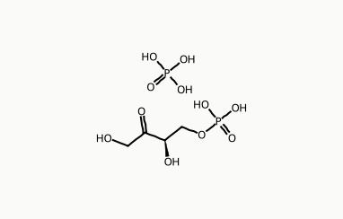 O=C(CO)[C@H](O)COP(=O)(O)O.O=P(O)(O)O